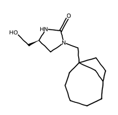 O=C1N[C@H](CO)CN1CC12CCCCCC(CC1)C2